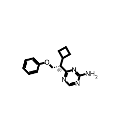 Nc1ncnc([C@H](COc2ccccc2)C2CCC2)n1